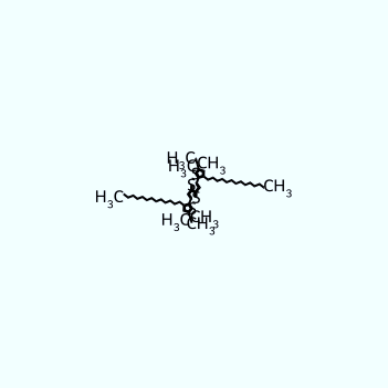 CCCCCCCCCCCCCCc1cc(C(C)(C)C)sc1-c1cc2sc(-c3sc(C(C)(C)CC)cc3CCCCCCCCCCCCCC)cc2s1